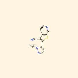 Cn1nccc1-c1sc2cnccc2c1C#N